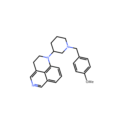 COc1ccc(CN2CCCC(N3CCc4cncc5cccc3c45)C2)cc1